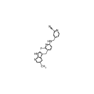 Cc1cnc2[nH]cc(Cc3ccc(NCc4ccnc(C#N)c4)nc3F)c2c1